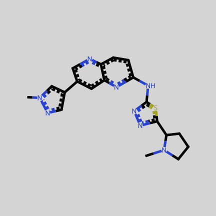 CN1CCCC1c1nnc(Nc2ccc3ncc(-c4cnn(C)c4)cc3n2)s1